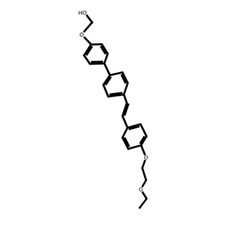 CCOCCOc1ccc(C=Cc2ccc(-c3ccc(OCO)cc3)cc2)cc1